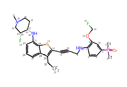 CCP(=O)(CC)c1ccc(NCC#Cc2sc3c(N[C@H]4CCN(C)C[C@H]4F)cccc3c2CC(F)(F)F)c(OCF)c1